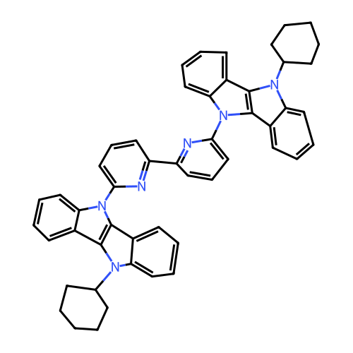 c1cc(-c2cccc(-n3c4ccccc4c4c3c3ccccc3n4C3CCCCC3)n2)nc(-n2c3ccccc3c3c2c2ccccc2n3C2CCCCC2)c1